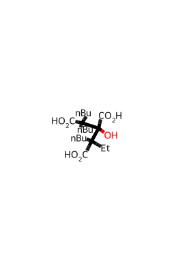 CCCCC(CC)(C(=O)O)C(O)(C(=O)O)C(CCCC)(CCCC)C(=O)O